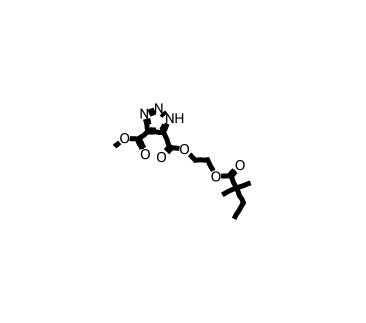 CCC(C)(C)C(=O)OCCOC(=O)c1[nH]nnc1C(=O)OC